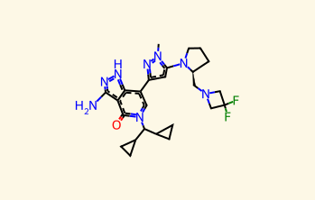 Cn1nc(-c2cn(C(C3CC3)C3CC3)c(=O)c3c(N)n[nH]c23)cc1N1CCC[C@H]1CN1CC(F)(F)C1